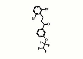 O=C(CCc1c(Br)cccc1Br)c1cccc(OC(F)(F)C(F)F)c1